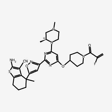 C=C(F)C(=O)N1CCC(Oc2cc(N3CCN(C)C[C@@H]3C)nc(-c3cc(C4(C)CCCc5sc(N)c(C#N)c54)on3)n2)CC1